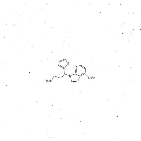 CNCCC(c1cccs1)N1CCc2c(OC)cccc21